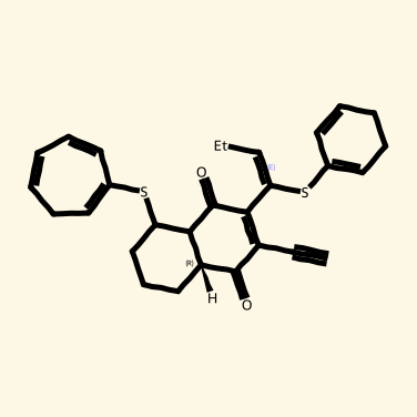 C#CC1=C(/C(=C\CC)SC2=CCCC=C2)C(=O)C2C(SC3=CCC=CC=C3)CCC[C@H]2C1=O